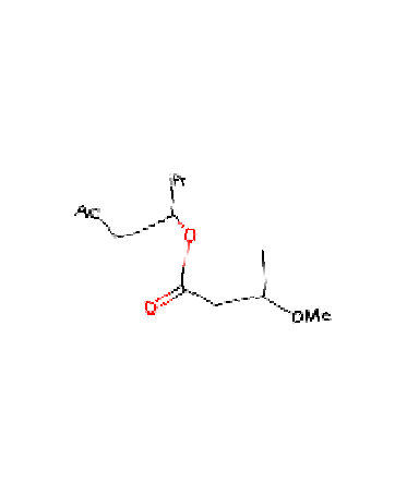 COC(C)CC(=O)OC(CC(C)=O)C(C)C